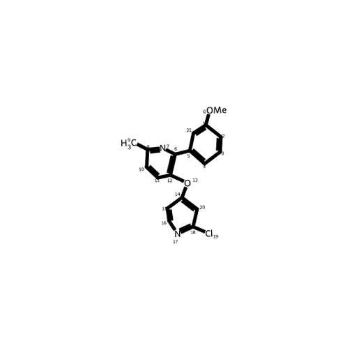 COc1cccc(-c2nc(C)ccc2Oc2ccnc(Cl)c2)c1